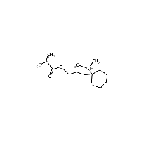 C=C(C)C(=O)OCCCC1([SiH](C)C)CCCCO1